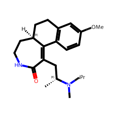 COc1ccc2c(c1)CC[C@@H]1CCNC(=O)C(C[C@@H](C)N(C)C(C)C)=C21